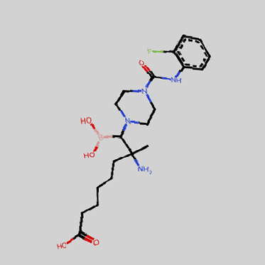 CC(N)(CCCCCC(=O)O)C(B(O)O)N1CCN(C(=O)Nc2ccccc2F)CC1